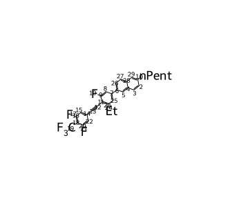 CCCCCc1ccc2cc(-c3cc(F)c(C#Cc4cc(F)c(C(F)(F)F)c(F)c4)c(CC)c3)ccc2c1